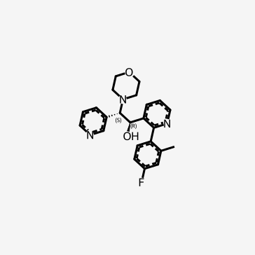 Cc1cc(F)ccc1-c1ncccc1[C@@H](O)[C@H](c1cccnc1)N1CCOCC1